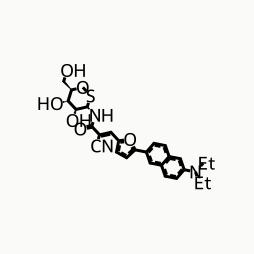 CCN(CC)c1ccc2cc(-c3ccc(/C=C(\C#N)C(=O)N[C@H]4SO[C@H](CO)[C@@H](O)[C@@H]4O)o3)ccc2c1